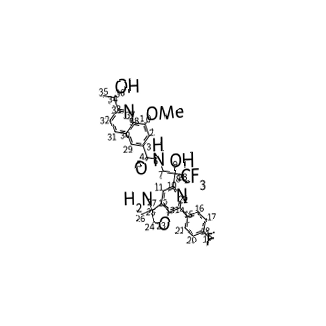 COc1cc(C(=O)NCC(O)(c2cc3c(c(-c4ccc(F)cc4)n2)OCC3(C)N)C(F)(F)F)cc2ccc(C(C)O)nc12